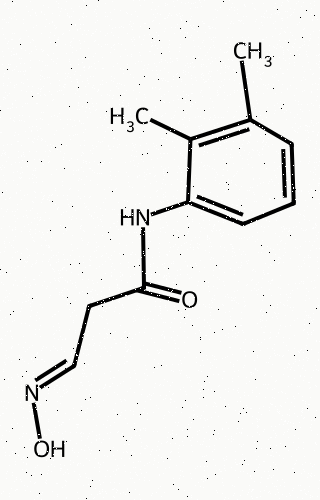 Cc1cccc(NC(=O)C/C=N/O)c1C